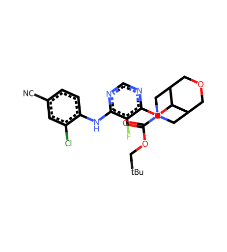 CC(C)(C)COC(=O)N1CC2COCC(C1)C2Oc1ncnc(Nc2ccc(C#N)cc2Cl)c1F